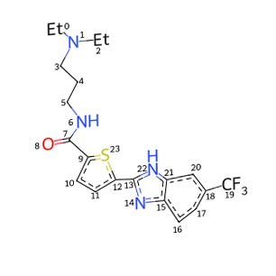 CCN(CC)CCCNC(=O)c1ccc(-c2nc3ccc(C(F)(F)F)cc3[nH]2)s1